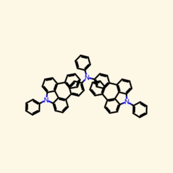 c1ccc(-c2cccc3c2c2c(-c4ccc(N(c5ccccc5)c5ccc(-c6cccc7c6c6c(-c8ccccc8)cccc6n7-c6ccccc6)cc5)cc4)cccc2n3-c2ccccc2)cc1